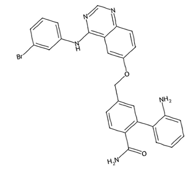 NC(=O)c1ccc(COc2ccc3ncnc(Nc4cccc(Br)c4)c3c2)cc1-c1ccccc1N